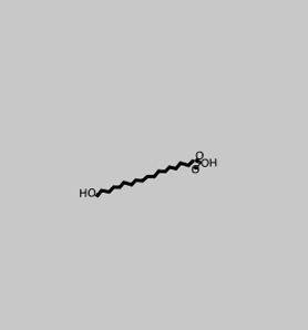 O=S(=O)(O)CCCCCCCCCCCCCCCCCCO